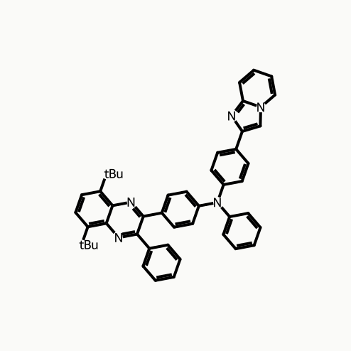 CC(C)(C)c1ccc(C(C)(C)C)c2nc(-c3ccc(N(c4ccccc4)c4ccc(-c5cn6ccccc6n5)cc4)cc3)c(-c3ccccc3)nc12